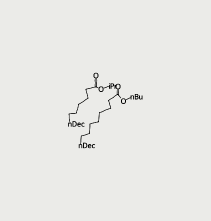 CCCCCCCCCCCCCCCC(=O)OC(C)C.CCCCCCCCCCCCCCCCCC(=O)OCCCC